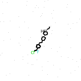 CCC[Si@H]1CC[C@H](C2CCC(CCc3ccc(C(F)=CCl)cc3)CC2)CC1